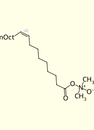 CCCCCCCC/C=C\CCCCCCCC(=O)O[N+](C)(C)[O-]